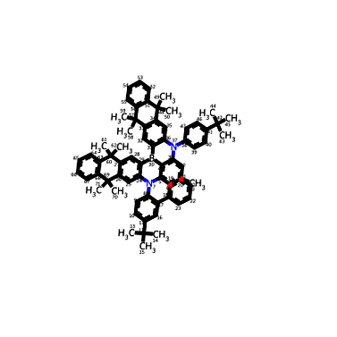 Cc1cc2c3c(c1)N(c1ccc(C(C)(C)C)cc1-c1ccccc1)c1cc4c(cc1B3c1cc3c(cc1N2c1ccc(C(C)(C)C)cc1)C(C)(C)c1ccccc1C3(C)C)C(C)(C)c1ccccc1C4(C)C